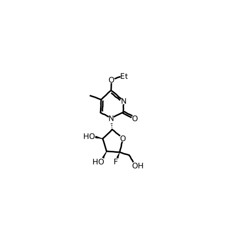 CCOc1nc(=O)n([C@@H]2O[C@](F)(CO)[C@@H](O)[C@H]2O)cc1C